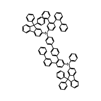 c1ccc(-c2cccc(-c3ccc(N(c4ccccc4)c4ccc5c(c4)C(c4ccccc4)(c4ccccc4)c4ccccc4-5)cc3-c3ccc(-c4ccc(N(c5ccc(-c6ccccc6-c6ccccc6)c(-c6ccccc6)c5)c5ccc6c(c5)C(c5ccccc5)(c5ccccc5)c5ccccc5-6)cc4)cc3)c2)cc1